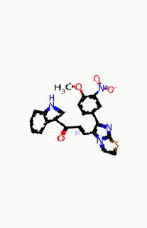 COc1ccc(-c2nc3sccn3c2/C=C/C(=O)c2c[nH]c3ccccc23)cc1[N+](=O)[O-]